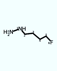 NNCCCCF